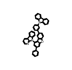 c1ccc(-c2cc(-n3c4ccccc4c4cccnc43)c3c(c2)oc2ccc(-c4cccc(-n5c6ccccc6c6ccccc65)c4)cc23)cc1